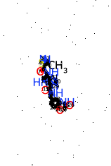 Cc1nnsc1C(=O)Nc1c[nH]c2c(C(=O)NCc3ccc4c(c3)NC(=O)CO4)ncnc12